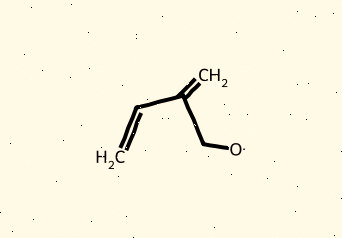 C=CC(=C)C[O]